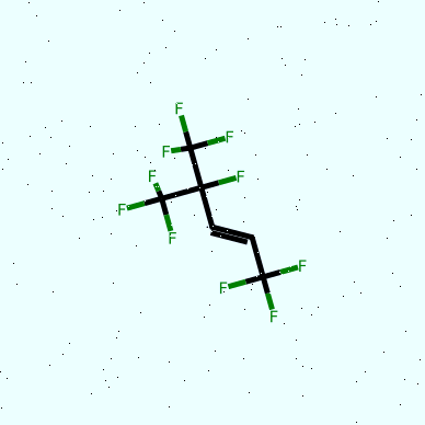 FC(F)(F)C=[C]C(F)(C(F)(F)F)C(F)(F)F